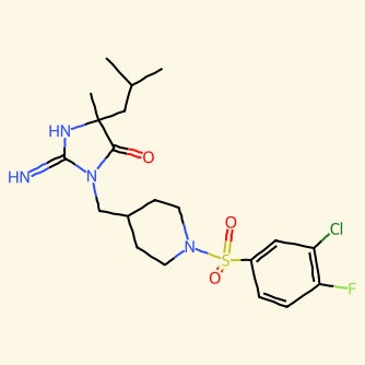 CC(C)CC1(C)NC(=N)N(CC2CCN(S(=O)(=O)c3ccc(F)c(Cl)c3)CC2)C1=O